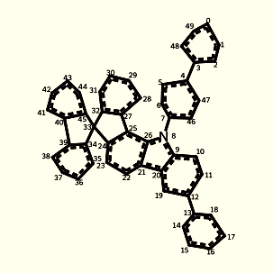 c1ccc(-c2ccc(-n3c4ccc(-c5ccccc5)cc4c4ccc5c(c43)-c3ccccc3C53c4ccccc4-c4ccccc43)cc2)cc1